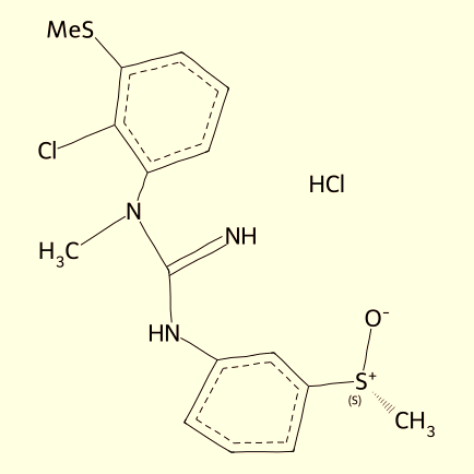 CSc1cccc(N(C)C(=N)Nc2cccc([S@@+](C)[O-])c2)c1Cl.Cl